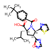 CC(C)C[C@@]1(C(=O)O)C[C@H](c2ncno2)[C@H](c2nccs2)N1C(=O)c1ccc(C(C)(C)C)cc1